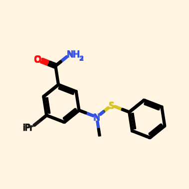 CC(C)c1cc(C(N)=O)cc(N(C)Sc2ccccc2)c1